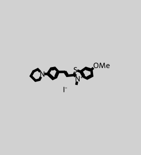 COc1ccc2c(c1)sc(C=Cc1ccc(N3CCCCC3)cc1)[n+]2C.[I-]